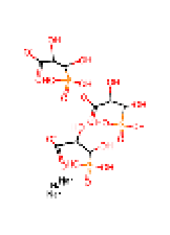 O=C([O-])C(O)C(O)P(=O)(O)O.O=C([O-])C(O)C(O)P(=O)(O)O.O=C([O-])C(O)C(O)P(=O)(O)O.[Na+].[Na+].[Na+]